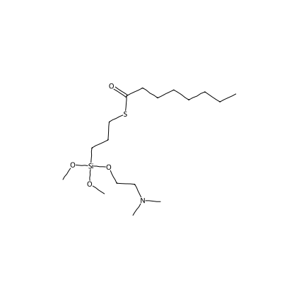 CCCCCCCC(=O)SCCC[Si](OC)(OC)OCCN(C)C